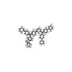 c1ccc(-c2ccc(N(c3ccc(-c4ccccc4)cc3)c3cccc(-c4ccc(N(c5ccc(-c6ccccc6)cc5)c5ccc6c(c5)oc5ccccc56)cc4)c3)cc2)cc1